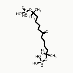 CC(C)(CCCCC(=O)CCCCC(C)(C)OP(=O)(O)O)OP(=O)(O)O